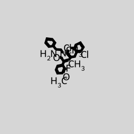 COc1cccc(-c2c(C)c(Cc3c(Cl)cccc3Cl)c(C)n(CC(N)c3ccccc3)c2=O)c1F